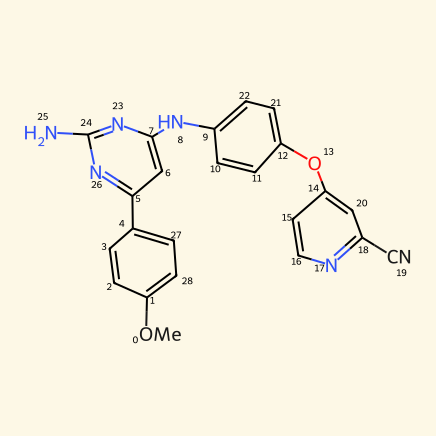 COc1ccc(-c2cc(Nc3ccc(Oc4ccnc(C#N)c4)cc3)nc(N)n2)cc1